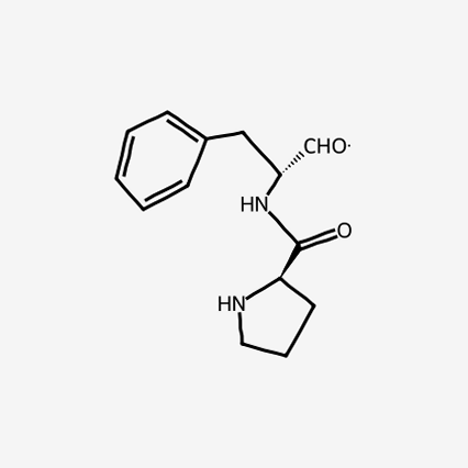 O=[C][C@@H](Cc1ccccc1)NC(=O)[C@H]1CCCN1